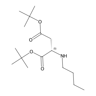 CCCCN[C@@H](CC(=O)OC(C)(C)C)C(=O)OC(C)(C)C